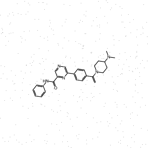 C=C(c1ccc(-c2cncc(C(=O)Nc3ccccc3)n2)cc1)N1CCC(N(C)C)CC1